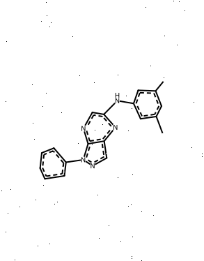 Cc1cc(C)cc(Nc2cnc3c(cnn3-c3ccccc3)n2)c1